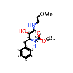 COCCNCC(O)[C@H](Cc1ccccc1)NC(=O)OC(C)(C)C